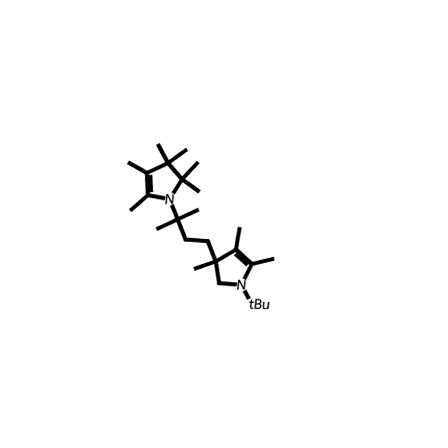 CC1=C(C)C(C)(CCC(C)(C)N2C(C)=C(C)C(C)(C)C2(C)C)CN1C(C)(C)C